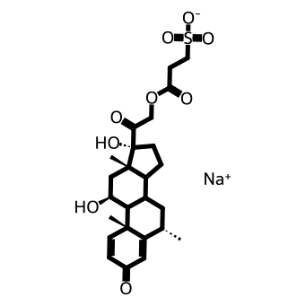 C[C@H]1CC2C([C@@H](O)C[C@@]3(C)C2CC[C@]3(O)C(=O)COC(=O)CCS(=O)(=O)[O-])[C@@]2(C)C=CC(=O)C=C12.[Na+]